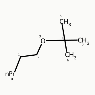 [CH2]CCCCOC(C)(C)C